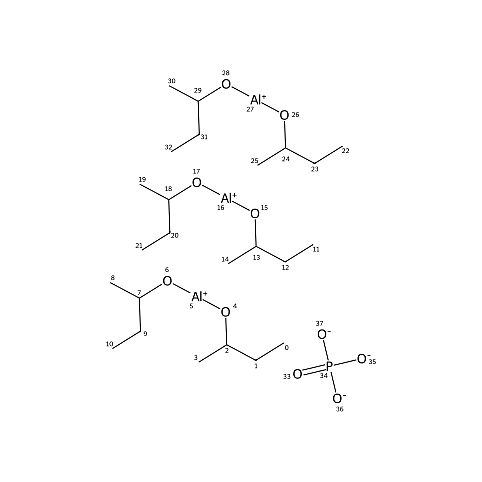 CCC(C)[O][Al+][O]C(C)CC.CCC(C)[O][Al+][O]C(C)CC.CCC(C)[O][Al+][O]C(C)CC.O=P([O-])([O-])[O-]